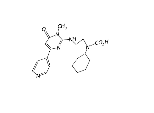 Cn1c(NCCN(C(=O)O)C2CCCCC2)nc(-c2ccncc2)cc1=O